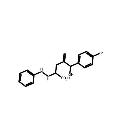 C=C(CC(NNc1ccccc1)C(=O)O)C(O)c1ccc(Br)cc1